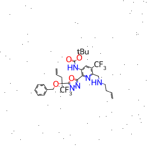 C=CCCNCc1nc(-c2nnc(C(CC=C)(OCc3ccccc3)C(F)(F)F)o2)c(NC(=O)OC(C)(C)C)cc1C(F)(F)F